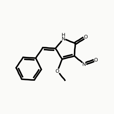 COC1=C(N=O)C(=O)NC1=Cc1ccccc1